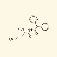 NCCCC(N)C(=O)NC(=O)C(c1ccccc1)c1ccccc1